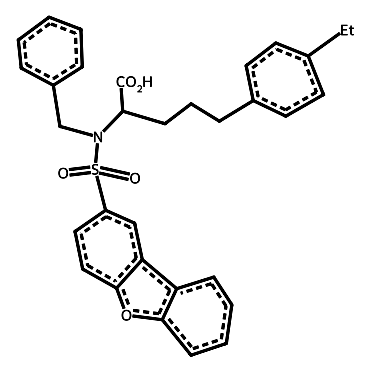 CCc1ccc(CCCC(C(=O)O)N(Cc2ccccc2)S(=O)(=O)c2ccc3oc4ccccc4c3c2)cc1